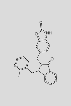 Cc1ncccc1CC1c2ccccc2C(=O)N1Cc1ccc2[nH]c(=O)oc2c1